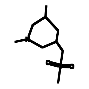 CC1CC(CS(C)(=O)=O)CN(C)C1